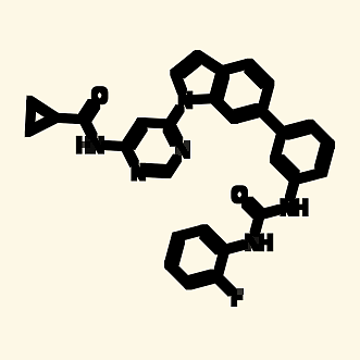 O=C(Nc1cccc(-c2ccc3ccn(-c4cc(NC(=O)C5CC5)ncn4)c3c2)c1)Nc1ccccc1F